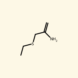 C=C(N)CSCC